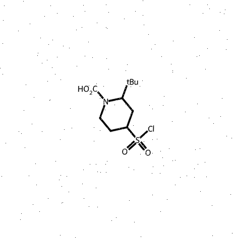 CC(C)(C)C1CC(S(=O)(=O)Cl)CCN1C(=O)O